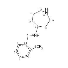 FC(F)(F)c1ccccc1CNC1CCCNCC1